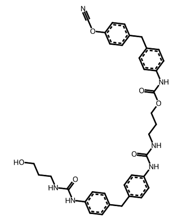 N#COc1ccc(Cc2ccc(NC(=O)OCCCNC(=O)Nc3ccc(Cc4ccc(NC(=O)NCCCO)cc4)cc3)cc2)cc1